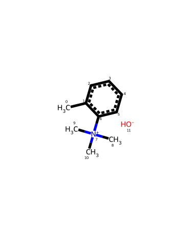 Cc1ccccc1[N+](C)(C)C.[OH-]